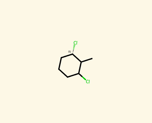 CC1C(Cl)CCC[C@@H]1Cl